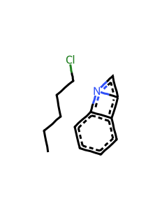 CCCCCCl.c1ccc2c(c1)c1cn2-1